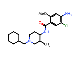 COc1cc(N)c(Cl)cc1C(=O)NC1CCN(CC2CCCCC2)CC1C